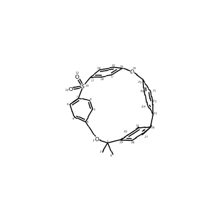 CC1(C)Oc2ccc(cc2)S(=O)(=O)c2ccc(cc2)Oc2ccc(cc2)-c2ccc1cc2